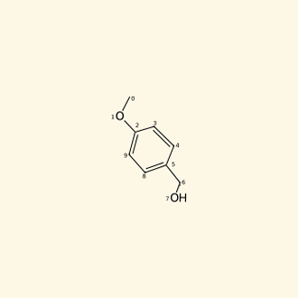 COc1ccc([CH]O)cc1